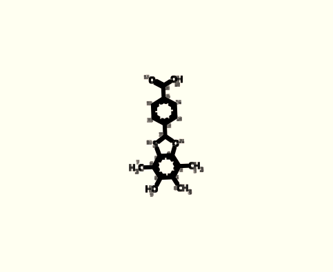 Cc1c(C)c2c(c(C)c1O)SC(c1ccc(C(=O)O)cc1)O2